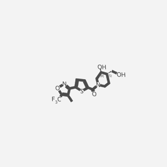 Cc1c(-c2ccc(C(=O)N3CC[C@@H](CO)[C@@H](O)C3)s2)noc1C(F)(F)F